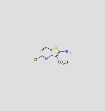 CCOC(=O)c1c(N)sc2ccc(Cl)nc12